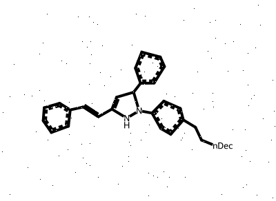 CCCCCCCCCCCCc1ccc(N2NC(C=Cc3ccccc3)=CC2c2ccccc2)cc1